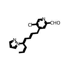 C\C=C/C(=C\C=C\Cc1cc(C=O)ncc1Cl)n1cccn1